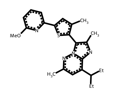 CCC(CC)c1cc(C)nn2c(-c3sc(-c4cccc(OC)n4)cc3C)c(C)nc12